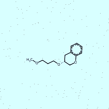 COCCCO[C@H]1COc2ccccc2C1